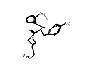 COCC1CN(C(=O)C(Cc2ccc(C)cc2)Nc2ccccc2N)C1